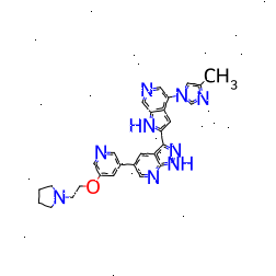 Cc1cn(-c2cncc3[nH]c(-c4n[nH]c5ncc(-c6cncc(OCCN7CCCC7)c6)cc45)cc23)cn1